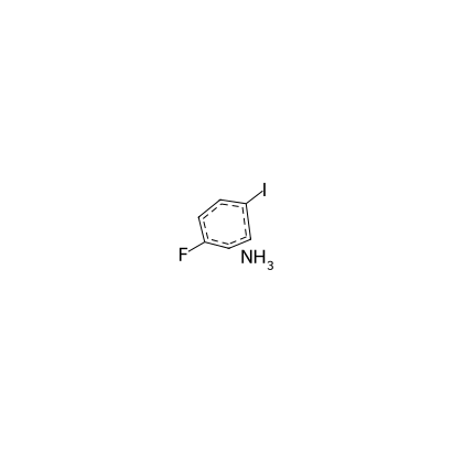 Fc1ccc(I)cc1.N